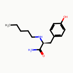 CCCCCN[C@@H](Cc1ccc(O)cc1)C(N)=O